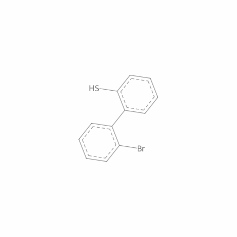 Sc1ccccc1-c1ccccc1Br